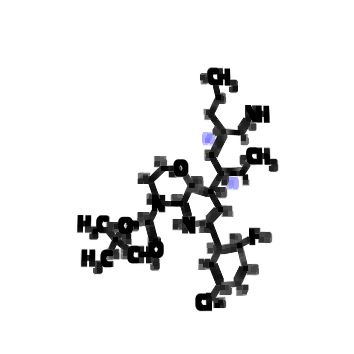 C/C=C(\C=C(/C=N)CCC)c1cc(-c2cc(Cl)ccc2F)nc2c1OCCN2C(=O)OC(C)(C)C